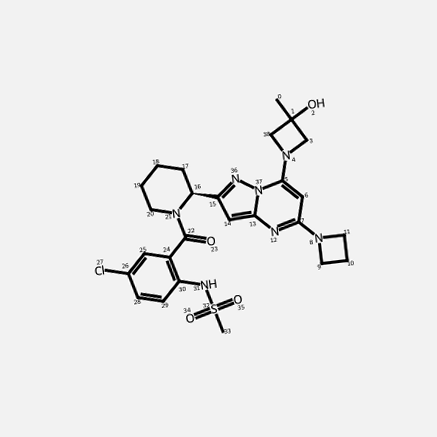 CC1(O)CN(c2cc(N3CCC3)nc3cc([C@@H]4CCCCN4C(=O)c4cc(Cl)ccc4NS(C)(=O)=O)nn23)C1